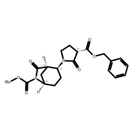 CC(C)(C)OC(=O)N1C(=O)[C@@H]2C[C@H]1CC[C@@H]2N1CC[C@H](C(=O)OCc2ccccc2)C1=O